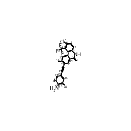 C=C(Nc1ccc(Cl)c(C(F)(F)F)c1)c1ccc(C)c(C#Cc2cnc(N)c(C)c2)c1